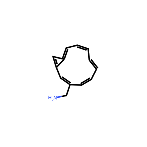 NCC1=C\C2=CC\2=C/C=C\C=C\C=C/1